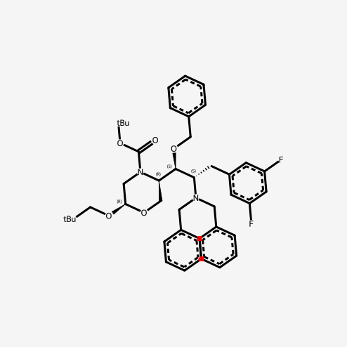 CC(C)(C)CO[C@H]1CN(C(=O)OC(C)(C)C)[C@@H]([C@@H](OCc2ccccc2)[C@H](Cc2cc(F)cc(F)c2)N(Cc2ccccc2)Cc2ccccc2)CO1